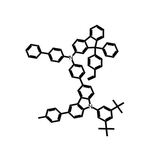 C=Cc1ccc(C2(c3ccccc3)c3ccccc3-c3ccc(N(c4ccc(-c5ccccc5)cc4)c4ccc(-c5ccc6c(c5)c5cc(-c7ccc(C)cc7)ccc5n6-c5cc(C(C)(C)C)cc(C(C)(C)C)c5)cc4)cc32)cc1